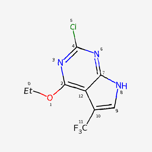 CCOc1nc(Cl)nc2[nH]cc(C(F)(F)F)c12